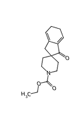 CCOC(=O)N1CCC2(CC1)CC1=CCCC=C1C2=O